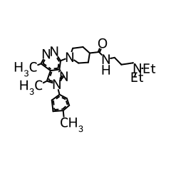 CCN(CC)CCCNC(=O)C1CCN(c2nnc(C)c3c(C)n(-c4ccc(C)cc4)nc23)CC1